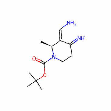 C[C@H]1/C(=C/N)C(=N)CCN1C(=O)OC(C)(C)C